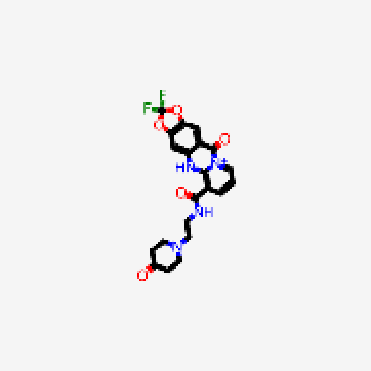 O=C1CCN(CCNC(=O)c2ccc[n+]3c(=O)c4cc5c(cc4[nH]c23)OC(F)(F)O5)CC1